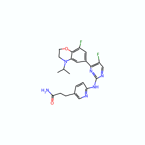 CC(C)N1CCOc2c(F)cc(-c3nc(Nc4ccc(CCC(N)=O)cn4)ncc3F)cc21